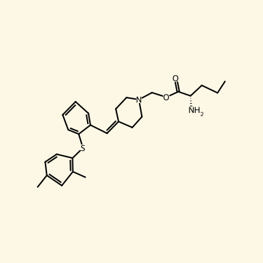 CCC[C@H](N)C(=O)OCN1CCC(=Cc2ccccc2Sc2ccc(C)cc2C)CC1